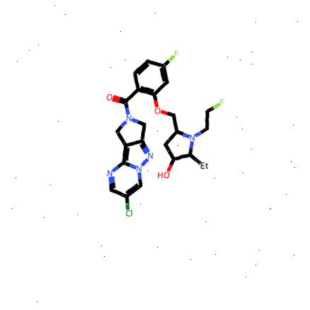 CCC1C(O)CC(COc2cc(F)ccc2C(=O)N2Cc3nn4cc(Cl)cnc4c3C2)N1CCF